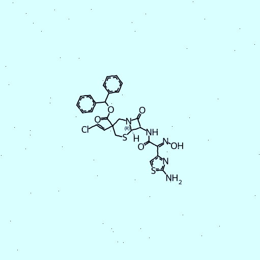 Nc1nc(C(=NO)C(=O)NC2C(=O)N3CC(C=CCl)(C(=O)OC(c4ccccc4)c4ccccc4)CS[C@H]23)cs1